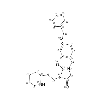 O=C1CN(Cc2ccc(OCc3ccccc3)cc2)C(=O)N1CCC1CCCCN1